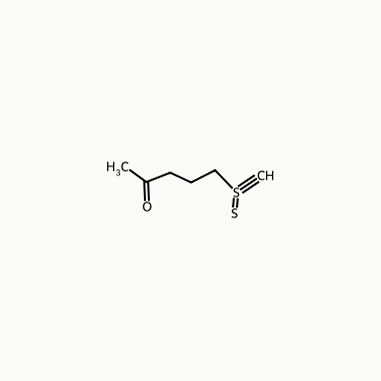 C#S(=S)CCCC(C)=O